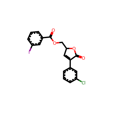 O=C1OC(COC(=O)c2cccc(I)c2)C=C1c1cccc(Cl)c1